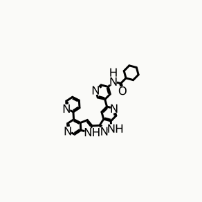 O=C(Nc1cncc(-c2cc3c(-c4cc5c(-c6ccccn6)cncc5[nH]4)n[nH]c3cn2)c1)C1CCCCC1